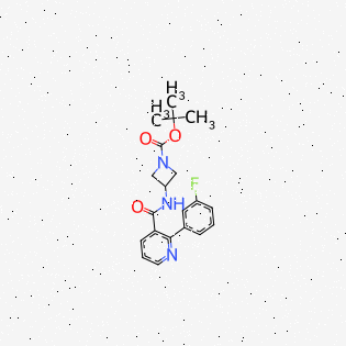 CC(C)(C)OC(=O)N1CC(NC(=O)c2cccnc2-c2cccc(F)c2)C1